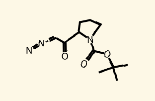 CC(C)(C)OC(=O)N1CCCC1C(=O)C=[N+]=[N-]